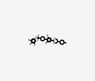 CC1CCC(C2COC(c3cc(F)c(C4CCC(C(F)(F)Oc5cc(F)c(F)c(F)c5)CC4)c(F)c3)OC2)CC1